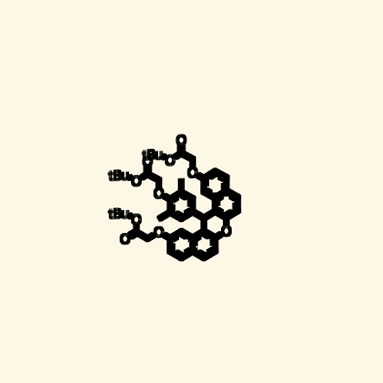 Cc1cc(C2c3c(ccc4ccc(OCC(=O)OC(C)(C)C)cc34)Oc3ccc4ccc(OCC(=O)OC(C)(C)C)cc4c32)cc(C)c1OCC(=O)OC(C)(C)C